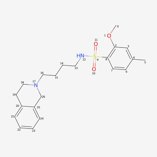 COc1cc(C)ccc1S(=O)(=O)NCCCCN1CCc2ccccc2C1